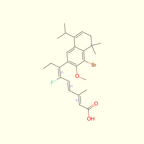 CC/C(=C(F)/C=C/C(C)=C/C(=O)O)c1cc2c(c(Br)c1OC)C(C)(C)CC=C2C(C)C